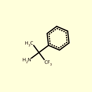 CC(N)(c1ccccc1)C(F)(F)F